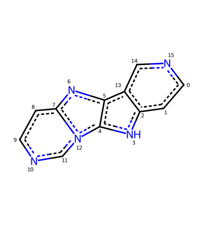 c1cc2[nH]c3c(nc4ccncn43)c2cn1